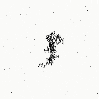 C=C[C@H]1[C@H](O)[C@@H](COP(=O)(S)OP(=O)(O)OC2OC3(OC(C)=O)C2C(O)C(OC(C)=O)C3[C@H](COC(C)=O)OC(C)=O)O[C@H]1n1cnc2c(N)ncnc21